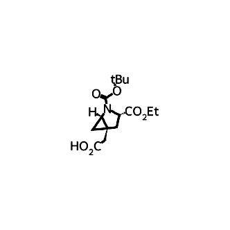 CCOC(=O)[C@@H]1C[C@]2(CC(=O)O)C[C@@H]2N1C(=O)OC(C)(C)C